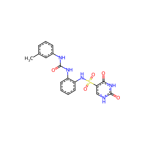 Cc1cccc(NC(=O)Nc2ccccc2NS(=O)(=O)c2c[nH]c(=O)[nH]c2=O)c1